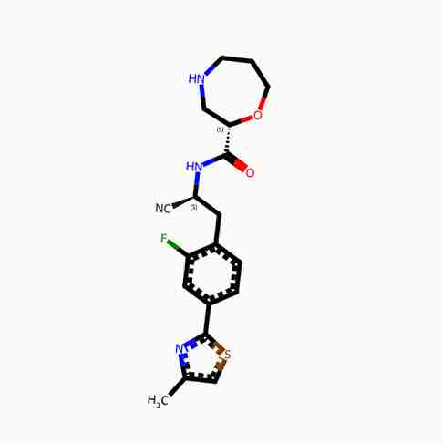 Cc1csc(-c2ccc(C[C@@H](C#N)NC(=O)[C@@H]3CNCCCO3)c(F)c2)n1